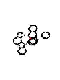 c1ccc(-c2c3ccccc3c(-n3ccc4ccc5c6ccccc6n(-c6ccccc6)c5c43)c3ccccc23)cc1